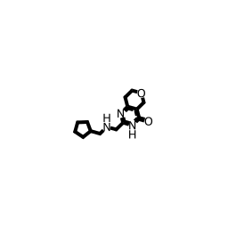 O=c1[nH]c(CNCC2CCCC2)nc2c1COCC2